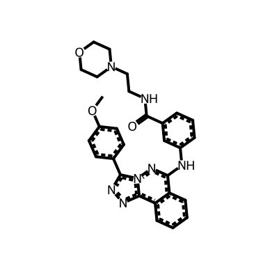 COc1ccc(-c2nnc3c4ccccc4c(Nc4cccc(C(=O)NCCN5CCOCC5)c4)nn23)cc1